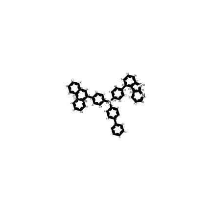 c1ccc(-c2ccc(N(c3ccc(-c4cc5ccccc5c5ccccc45)cc3)c3ccc(-c4cccc5sc6ncccc6c45)cc3)cc2)cc1